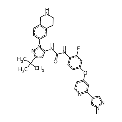 CC(C)(C)c1cc(NC(=O)Nc2ccc(Oc3ccnc(-c4cn[nH]c4)c3)cc2F)n(-c2ccc3c(c2)CCNC3)n1